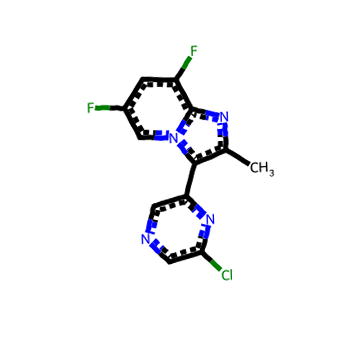 Cc1nc2c(F)cc(F)cn2c1-c1cncc(Cl)n1